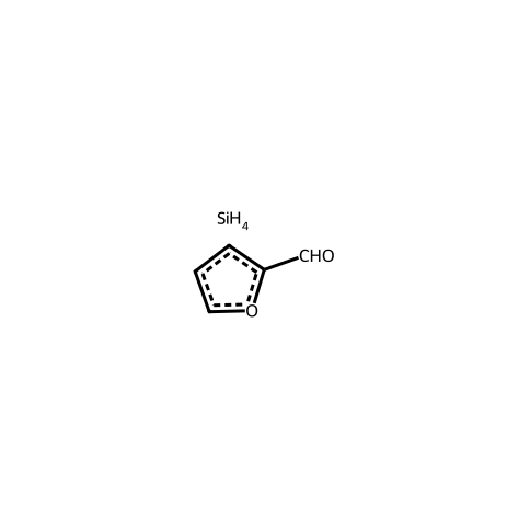 O=Cc1ccco1.[SiH4]